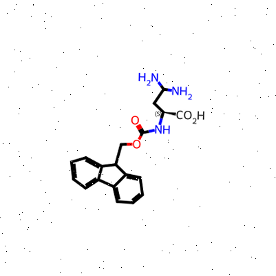 NC(N)C[C@H](NC(=O)OCC1c2ccccc2-c2ccccc21)C(=O)O